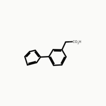 O=C(O)Cc1cccc(-c2c[c]ccc2)c1